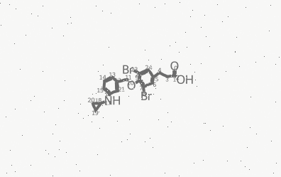 O=C(O)CCc1cc(Br)c(OCc2cccc(NC3CC3)c2)c(Br)c1